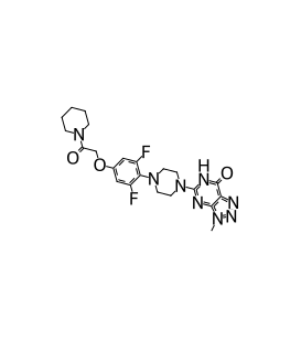 Cn1nnc2c(=O)[nH]c(N3CCN(c4c(F)cc(OCC(=O)N5CCCCC5)cc4F)CC3)nc21